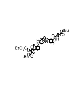 CCOC(=O)COc1c(C(=O)OC(C)(C)C)sc(-c2cccc(NC3CCN(S(=O)(=O)Cc4ccc(F)c(NC(=O)C5CN(C(=O)OC(C)(C)C)C5)c4)C(C)(C)C3)c2F)c1Cl